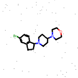 Brc1ccc2c(c1)CCC2N1CCC(N2CCOCC2)CC1